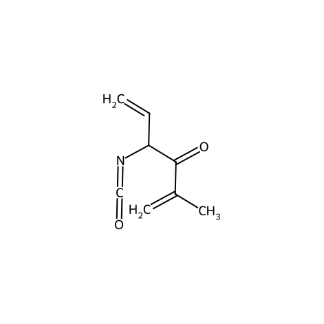 C=CC(N=C=O)C(=O)C(=C)C